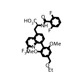 CCOCc1cc(OC)c(-c2ccc(C[C@H](NC(=O)c3c(F)cccc3F)C(=O)O)c3ccc(C(F)(F)F)nc23)c(OC)c1